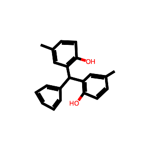 Cc1ccc(O)c(C(c2ccccc2)c2cc(C)ccc2O)c1